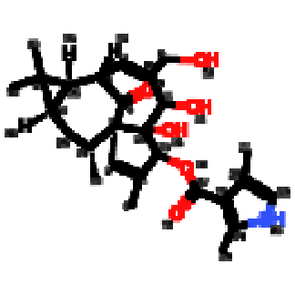 CC1=C[C@]23C(=O)[C@@H](C=C(CO)[C@@H](O)[C@]2(O)[C@H]1OC(=O)c1c(C)c[nH]c1C)[C@H]1[C@@H](C[C@H]3C)C1(C)C